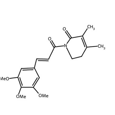 COc1cc(C=CC(=O)N2CCC(C)=C(C)C2=O)cc(OC)c1OC